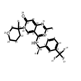 Cc1nc(N[C@H](C)c2cccc(C(F)(F)F)c2)c2cn(C3(C)CCCOC3)c(=O)cc2n1